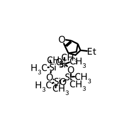 CCC1CC2CC1C1=C2O1.C[Si]1(C)O[Si](C)(C)O[Si](C)(C)O[Si](C)(C)O1